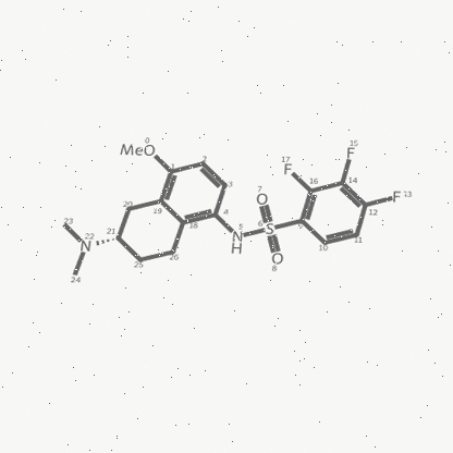 COc1ccc(NS(=O)(=O)c2ccc(F)c(F)c2F)c2c1C[C@@H](N(C)C)CC2